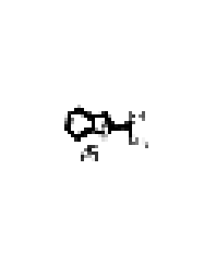 Cl.Cl.N=C(N)c1cc2ccccc2[nH]1